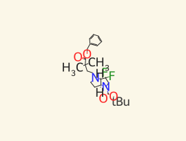 CC(C)(C)OC(=O)N1CC(F)(F)[C@H]2[C@@H]1CCN2CCC(C)(C)C(=O)OCc1ccccc1